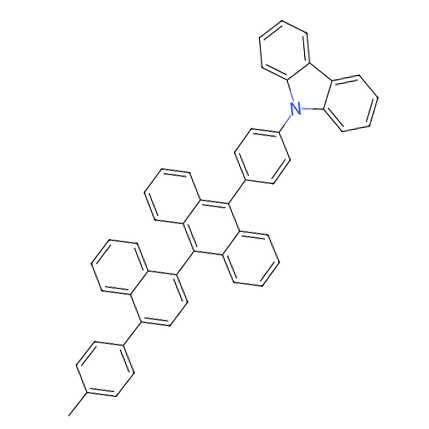 Cc1ccc(-c2ccc(-c3c4ccccc4c(-c4ccc(-n5c6ccccc6c6ccccc65)cc4)c4ccccc34)c3ccccc23)cc1